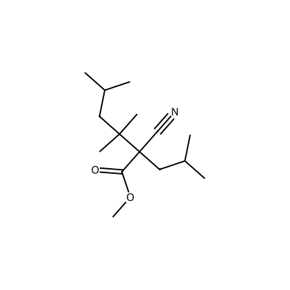 COC(=O)C(C#N)(CC(C)C)C(C)(C)CC(C)C